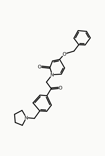 O=C(Cn1ccc(OCc2ccccc2)cc1=O)c1ccc(CN2CCCC2)cc1